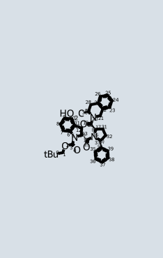 CC(C)(C)COC(=O)N1c2ccccc2C[C@@H]1C(=O)N1[C@@H](C(=O)N2Cc3ccccc3C[C@@H]2C(=O)O)CC[C@H]1c1ccccc1